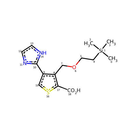 C[Si](C)(C)CCOCc1c(-c2ncc[nH]2)csc1C(=O)O